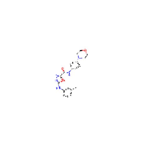 Cc1cccc(Nc2nnc(C(=O)Nc3ccc(N4CCOCC4)cc3)o2)c1